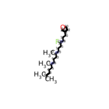 CC(C)=CCC/C(C)=C/CC/C(C)=C/CC/C(F)=C/CCc1ccoc1